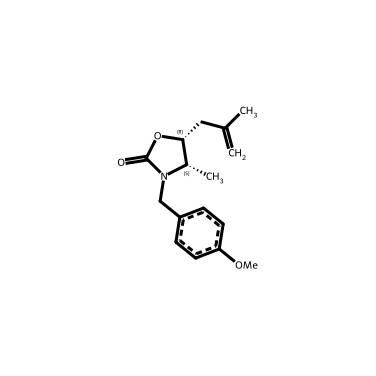 C=C(C)C[C@H]1OC(=O)N(Cc2ccc(OC)cc2)[C@H]1C